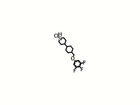 Fc1cc(OCC2CCC(C3CC[SiH](Cl)CC3)CC2)cc(F)c1F